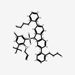 C=CCOc1c(C(C)(C)C)cc(C)cc1[Si](C)(C)C1c2cc(-c3ccccc3CCCC)ccc2-c2ccc(-c3ccccc3CCCC)cc21